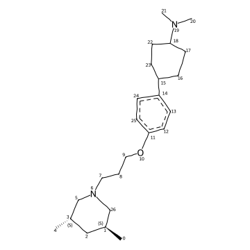 C[C@H]1C[C@H](C)CN(CCCOc2ccc(C3CCC(N(C)C)CC3)cc2)C1